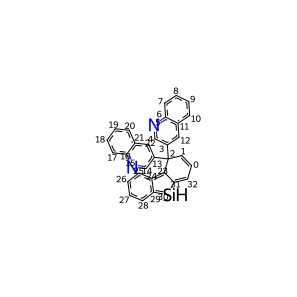 C1=CC(c2cnc3ccccc3c2)(c2cnc3ccccc3c2)C2=c3ccccc3=[SiH]C2=C1